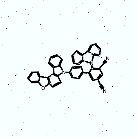 N#Cc1cc(C#N)c(-n2c3ccccc3c3ccccc32)c(-c2ccc(-n3c4ccccc4c4c5c(ccc43)oc3ccccc35)cc2)c1